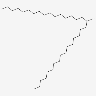 [CH2]C(CCCCCCCCCCCCCCCC)CCCCCCCCCCCCCCCC